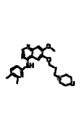 COc1cc2ncnc(Nc3ccc(C)c(C)c3)c2cc1OCCCN1CCOCC1